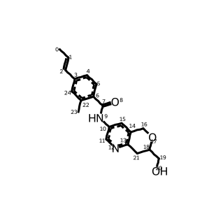 C/C=C/c1ccc(C(=O)Nc2cnc3c(c2)COC(CO)C3)c(C)c1